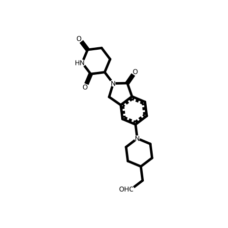 O=CCC1CCN(c2ccc3c(c2)CN(C2CCC(=O)NC2=O)C3=O)CC1